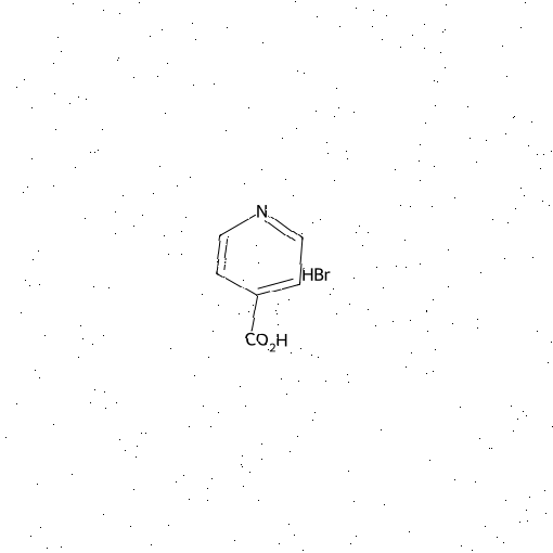 Br.O=C(O)c1ccncc1